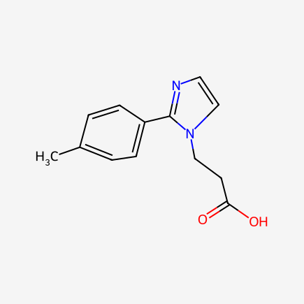 Cc1ccc(-c2nccn2CCC(=O)O)cc1